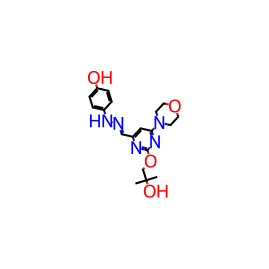 CC(C)(O)COc1nc(C=NNc2ccc(O)cc2)cc(N2CCOCC2)n1